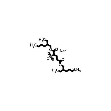 CCCCC(CC)COC(=O)CCC(C(=O)OCC(CC)CCCC)S(=O)(=O)[O-].[Na+]